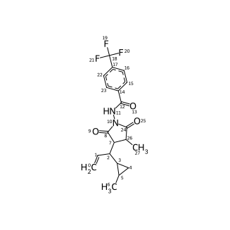 C=CC(C1CC1C)C1C(=O)N(NC(=O)c2ccc(C(F)(F)F)cc2)C(=O)C1C